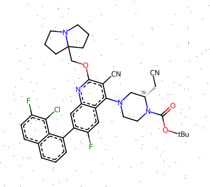 CC(C)(C)OC(=O)N1CCN(c2c(C#N)c(OCC34CCCN3CCC4)nc3cc(-c4cccc5ccc(F)c(Cl)c45)c(F)cc23)C[C@@H]1CC#N